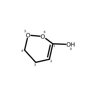 OC1=CCCOO1